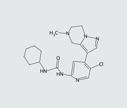 CN1CCn2ncc(-c3cc(NC(=O)NC4CCCCC4)ncc3Cl)c2C1